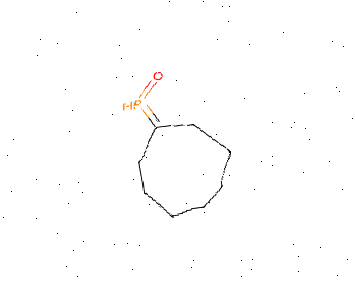 O=[PH]=C1CCCCCCC1